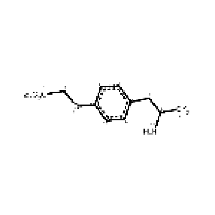 CCOC(=O)COc1ccc(CC(C)N)cc1